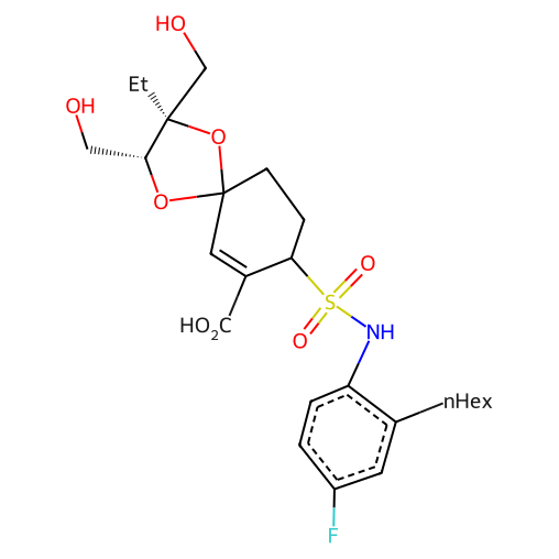 CCCCCCc1cc(F)ccc1NS(=O)(=O)C1CCC2(C=C1C(=O)O)O[C@H](CO)[C@@](CC)(CO)O2